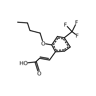 CCCCOc1cc(C(F)(F)F)ccc1C=CC(=O)O